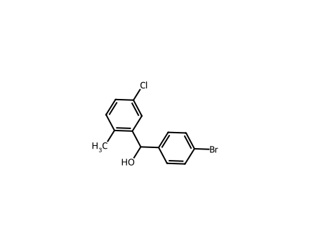 Cc1ccc(Cl)cc1C(O)c1ccc(Br)cc1